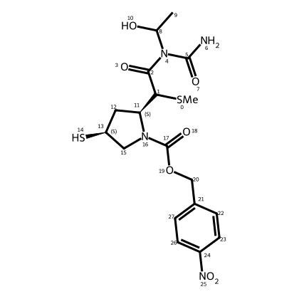 CSC(C(=O)N(C(N)=O)C(C)O)[C@@H]1C[C@H](S)CN1C(=O)OCc1ccc([N+](=O)[O-])cc1